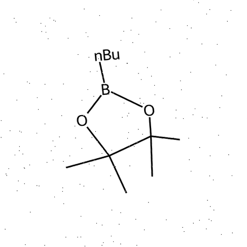 CCCCB1OC(C)(C)C(C)(C)O1